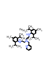 Cc1cc(C(C)C)c(NCCN(CCNc2c(C(C)C)cc(C)cc2C(C)C)Cc2ccccn2)c(C(C)C)c1.[Fe]